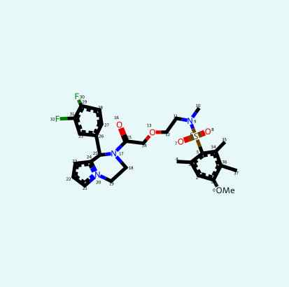 COc1cc(C)c(S(=O)(=O)N(C)CCOCC(=O)N2CCn3cccc3C2c2ccc(F)c(F)c2)c(C)c1C